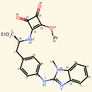 CCOC(=O)[C@H](Cc1ccc(Nc2nc3ccccc3n2C)cc1)Nc1c(OC(C)C)c(=O)c1=O